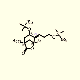 CC(=O)O[C@@]12C[C@@H](OC1=O)/C(=C\CCO[Si](C)(C)C(C)(C)C)[C@H](O[Si](C)(C)C(C)(C)C)C2